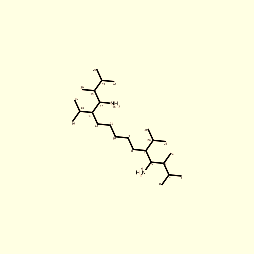 CC(C)C(C)C(N)C(CCCCCC(C(C)C)C(N)C(C)C(C)C)C(C)C